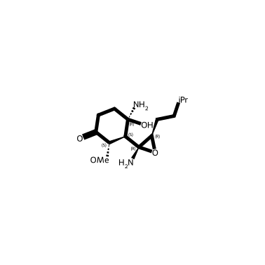 CO[C@@H]1C(=O)CC[C@@](N)(O)[C@H]1[C@@]1(N)O[C@@H]1CCC(C)C